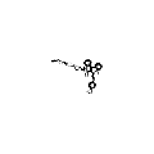 C#CCOCCOCCOCCn1c(=O)c(C(=O)/C=C/c2ccc(OC)cc2)c(-c2ccccc2)c2ccccc21